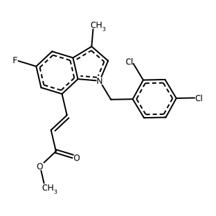 COC(=O)C=Cc1cc(F)cc2c(C)cn(Cc3ccc(Cl)cc3Cl)c12